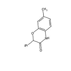 Cc1ccc2c(c1)OC(C(C)C)C(=O)N2